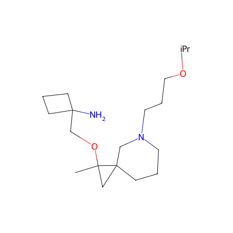 CC(C)OCCCN1CCCC2(C1)CC2(C)OCC1(N)CCC1